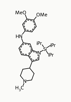 COc1ccc(Nc2ccc3c(C4CCN(C)CC4)cn([Si](C(C)C)(C(C)C)C(C)C)c3c2)cc1OC